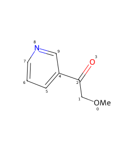 COCC(=O)c1cccnc1